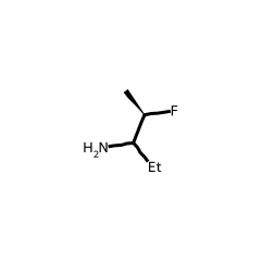 CCC(N)[C@@H](C)F